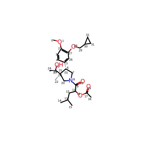 COc1ccc([C@@H]2CN(C(=O)C(CC(C)C)OC(C)=O)C[C@@]2(C)[C@@H](C)O)cc1OCC1CC1